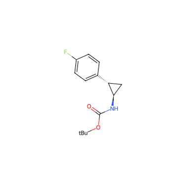 CC(C)(C)OC(=O)N[C@@H]1C[C@H]1c1ccc(F)cc1